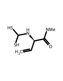 C=C[C@@H](NC(S)S)C(=O)NC